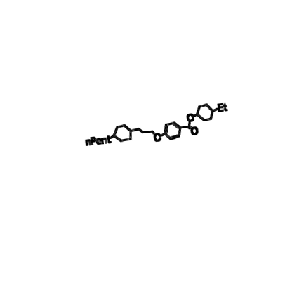 CCCCCC1CCC(CCCOc2ccc(C(=O)OC3CCC(CC)CC3)cc2)CC1